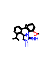 COc1ccccc1N1C(=N)NCC1c1c(C(C)C)cccc1C(C)C